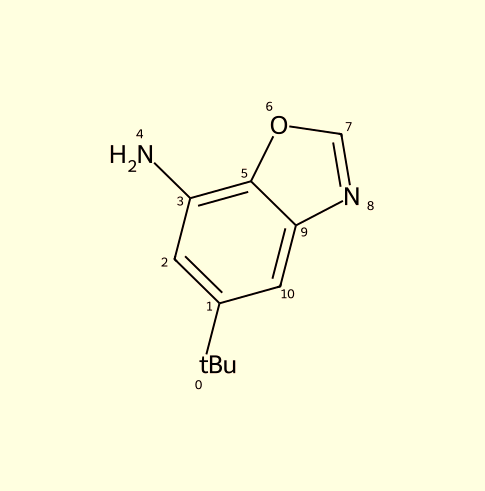 CC(C)(C)c1cc(N)c2ocnc2c1